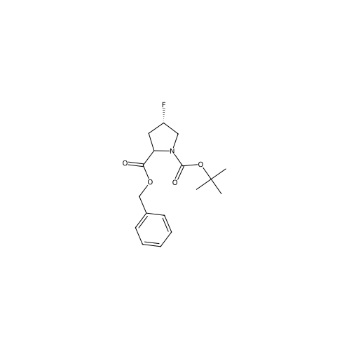 CC(C)(C)OC(=O)N1C[C@@H](F)CC1C(=O)OCc1ccccc1